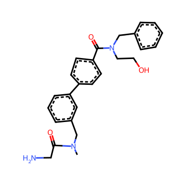 CN(Cc1cccc(-c2ccc(C(=O)N(CCO)Cc3ccccc3)cc2)c1)C(=O)CN